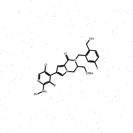 COCC1Cn2cc(-c3c(Cl)cnc(NC(C)C)c3F)cc2C(=O)N1Cc1cc(F)ccc1CO